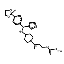 C[C@H](CCNC(=O)OC(C)(C)C)N1CCC(NC(c2ccc(C3(C)OCCO3)cc2)c2ccsc2)CC1